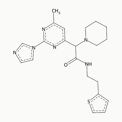 Cc1cc(C(C(=O)NCCc2cccs2)N2CCCCC2)nc(-n2ccnc2)n1